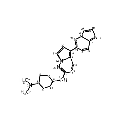 CN(C)[C@H]1CC[C@@H](Nc2ncc3c(-c4ccc5nccn5n4)ccn3n2)CC1